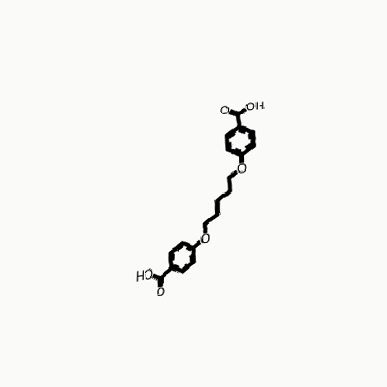 O=C(O)c1ccc(OCCCCCOc2ccc(C(=O)O)cc2)cc1